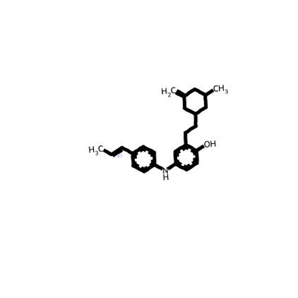 C=C1CC(C)CC(CCc2cc(Nc3ccc(/C=C/C)cc3)ccc2O)C1